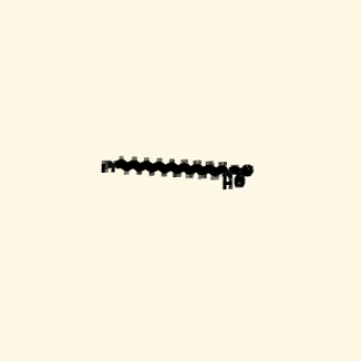 CC(C)CCCCCCCCCCCCCCCCCNCP(=O)=O